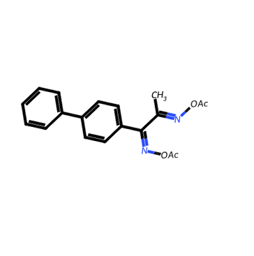 CC(=O)O/N=C(\C(C)=N\OC(C)=O)c1ccc(-c2ccccc2)cc1